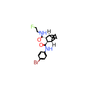 O=C(NCCF)[C@H]1[C@H](C(=O)Nc2ccc(Br)cc2)[C@@H]2C=C[C@H]1C21CC1